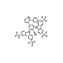 N#Cc1c(-n2c3ccc(C(F)(F)F)cc3c3cc(C(F)(F)F)ccc32)cc(-c2cccnc2-c2ccccc2)cc1-n1c2ccc(C(F)(F)F)cc2c2cc(C(F)(F)F)ccc21